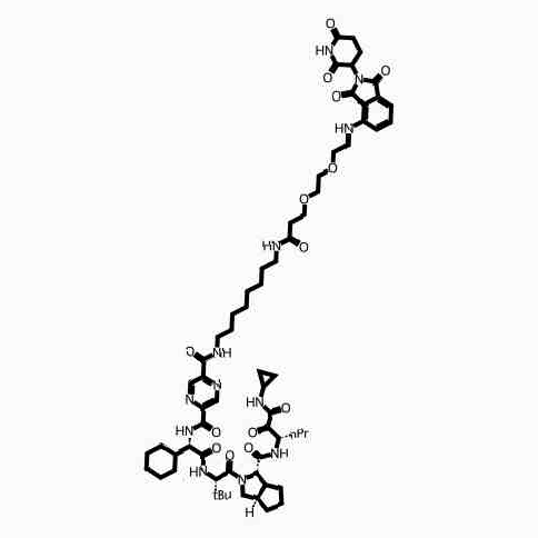 CCC[C@H](NC(=O)[C@@H]1C2CCC[C@H]2CN1C(=O)[C@@H](NC(=O)[C@@H](NC(=O)c1cnc(C(=O)NCCCCCCCCNC(=O)CCOCCOCCNc2cccc3c2C(=O)N(C2CCC(=O)NC2=O)C3=O)cn1)C1CCCCC1)C(C)(C)C)C(=O)C(=O)NC1CC1